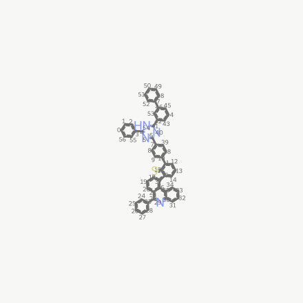 c1ccc(C2=NC(c3ccc(-c4cccc5c4sc4ccc6c(-c7ccccc7)nc7ccccc7c6c45)cc3)=NC(c3cccc(-c4ccccc4)c3)N2)cc1